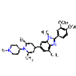 CCC1CC(c2cc(C)c3nc(-c4ccc(OC)c(OC)c4)n(C)c3c2)CC(C)N1C1CCN(C(C)C)CC1